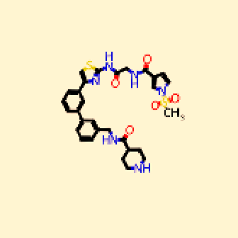 CS(=O)(=O)n1ccc(C(=O)NCC(=O)Nc2nc(-c3cccc(-c4cccc(CNC(=O)C5CCNCC5)c4)c3)cs2)c1